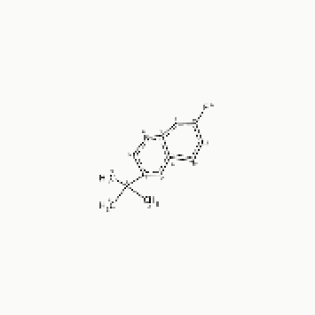 CC(C)(C)c1cnc2cc(F)ccc2c1